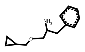 NC(COCC1CC1)Cc1ccccc1